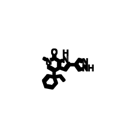 CCC1(c2cn(C)c(=O)c3[nH]c(-c4cn[nH]c4)cc23)C=CC=CC1